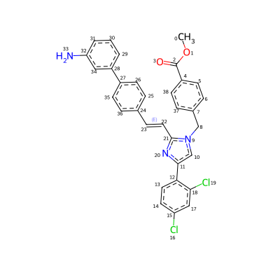 COC(=O)c1ccc(Cn2cc(-c3ccc(Cl)cc3Cl)nc2/C=C/c2ccc(-c3cccc(N)c3)cc2)cc1